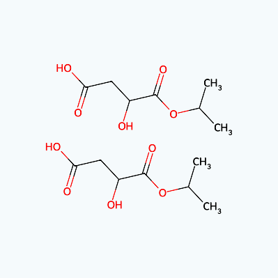 CC(C)OC(=O)C(O)CC(=O)O.CC(C)OC(=O)C(O)CC(=O)O